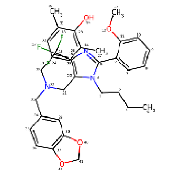 CCCCn1c(-c2ccccc2OC)nc(C(F)(F)F)c1CN(Cc1cc(C)c(O)c(C)c1)Cc1ccc2c(c1)OCO2